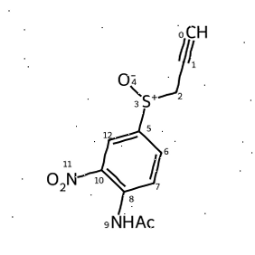 C#CC[S+]([O-])c1ccc(NC(C)=O)c([N+](=O)[O-])c1